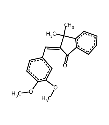 COc1ccc(/C=C2\C(=O)c3ccccc3C2(C)C)cc1OC